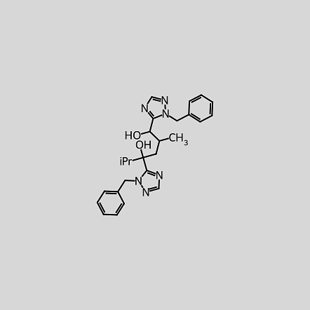 CC(CC(O)(c1ncnn1Cc1ccccc1)C(C)C)C(O)c1ncnn1Cc1ccccc1